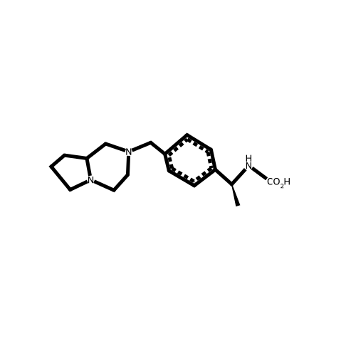 C[C@H](NC(=O)O)c1ccc(CN2CCN3CCCC3C2)cc1